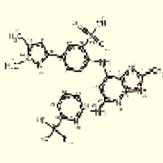 Cc1nc2c(Nc3ccc(-c4cc(C)n(C)n4)cc3S(C)(=O)=O)cc(Nc3cccc(C(F)(F)F)n3)nc2[nH]1